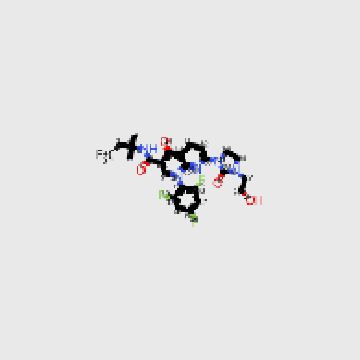 CC(C)(CC(F)(F)F)NC(=O)c1cn(-c2c(F)cc(F)cc2F)c2nc(N3CCN(CCO)C3=O)ccc2c1=O